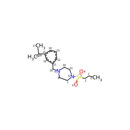 CCCS(=O)(=O)N1CCN(Cc2cccc(C(C)C)c2)CC1